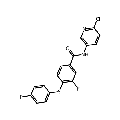 O=C(Nc1ccc(Cl)nc1)c1ccc(Sc2ccc(F)cc2)c(F)c1